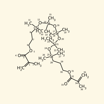 C=C(C)C(=O)OCCC[Si](C)(C)O[Si](C)(C)O[Si](C)(C)O[Si](C)(C)O[Si](C)(C)CCCOC(=O)C(=C)C